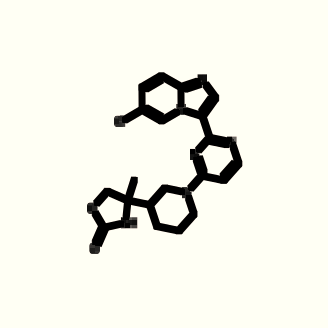 CC1(C2CCCN(c3ccnc(-c4cnc5ccc(Cl)cn45)n3)C2)COC(=O)N1